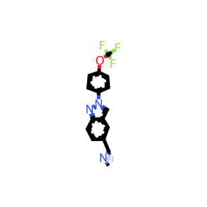 C/N=C/c1ccc2nn(-c3ccc(OC(F)(F)F)cc3)cc2c1